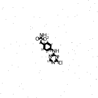 NS(=O)(=O)Cc1ccc(Nc2ncnc(Cl)n2)cc1